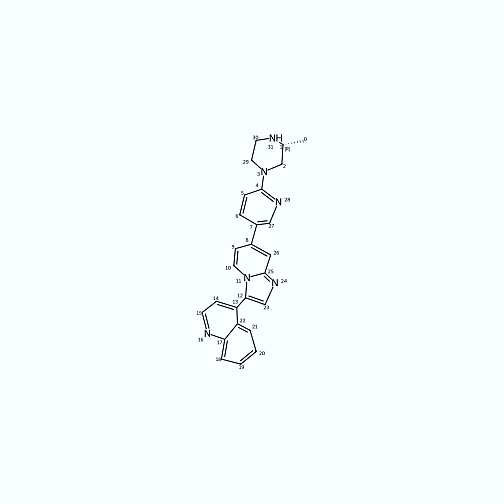 C[C@@H]1CN(c2ccc(-c3ccn4c(-c5ccnc6ccccc56)cnc4c3)cn2)CCN1